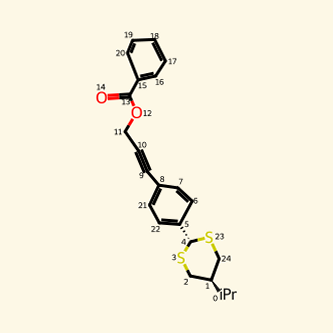 CC(C)[C@H]1CS[C@H](c2ccc(C#CCOC(=O)c3ccccc3)cc2)SC1